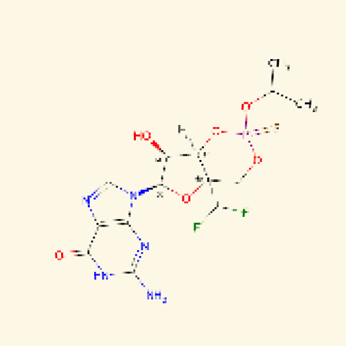 CC(C)OP1(=S)OC[C@@]2(C(F)F)O[C@@H](n3cnc4c(=O)[nH]c(N)nc43)[C@@H](O)[C@H]2O1